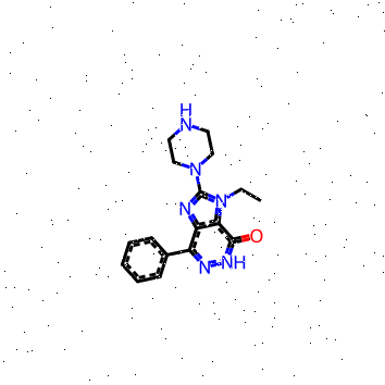 CCn1c(N2CCNCC2)nc2c(-c3ccccc3)n[nH]c(=O)c21